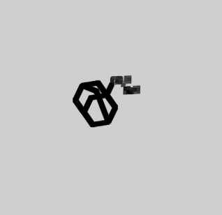 O=C(O)C12CC3CC(CC(C3)C1)C2.[NaH]